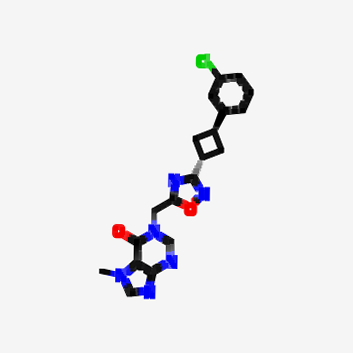 Cn1cnc2ncn(Cc3nc([C@H]4C[C@H](c5cccc(Cl)c5)C4)no3)c(=O)c21